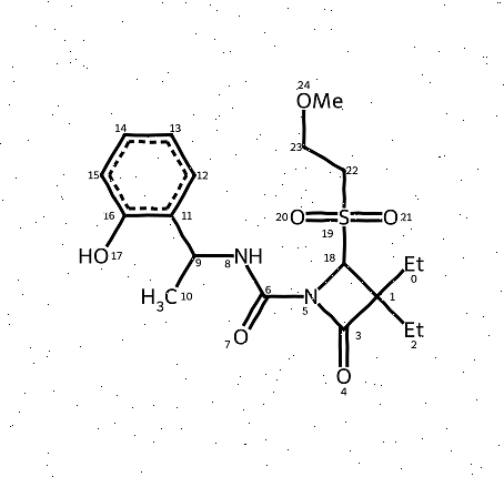 CCC1(CC)C(=O)N(C(=O)NC(C)c2ccccc2O)C1S(=O)(=O)CCOC